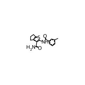 Cc1cccc(C(=O)Nc2sc3c(c2C(N)=O)CCC3)c1